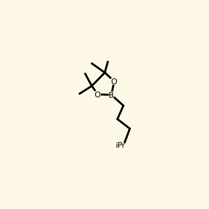 CC(C)CCCB1OC(C)(C)C(C)(C)O1